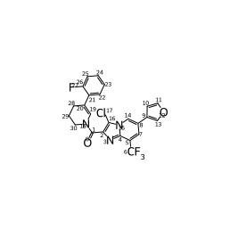 O=C(c1nc2c(C(F)(F)F)cc(-c3ccoc3)cn2c1Cl)N1C=C(c2ccccc2F)CCC1